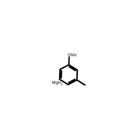 [CH2]c1cccc(OC)c1.[MgH2]